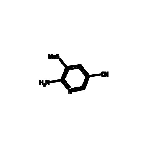 CSc1cc(C#N)cnc1N